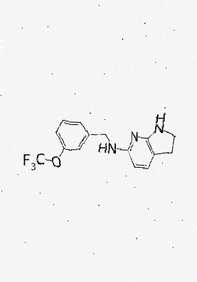 FC(F)(F)Oc1cccc(CNc2ccc3c(n2)NCC3)c1